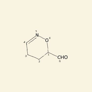 O=CC1CCC=NO1